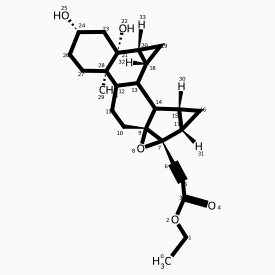 CCOC(=O)C#C[C@@]12O[C@@]13CCC1C(C3[C@@H]3C[C@@H]32)[C@H]2C[C@H]2[C@]2(O)C[C@@H](O)CC[C@]12C